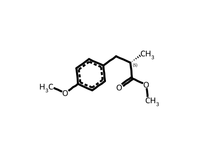 COC(=O)[C@@H](C)Cc1ccc(OC)cc1